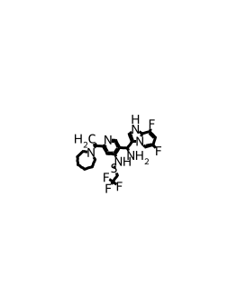 C=C(c1cc(NSCC(F)(F)F)c(C(N)C2=CNC3C(F)=CC(F)=CN23)cn1)N1CCCCCC1